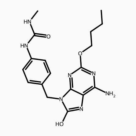 CCCCOc1nc(N)c2nc(O)n(Cc3ccc(NC(=O)NC)cc3)c2n1